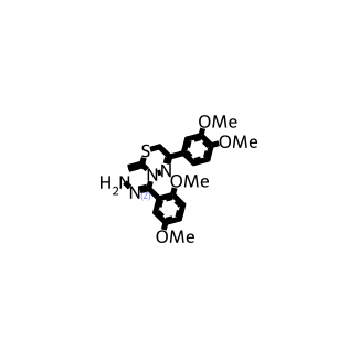 C=C1SCC(c2ccc(OC)c(OC)c2)=NN1/C(=N\N)c1cc(OC)ccc1OC